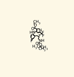 CCOC(=O)c1cnc(C(F)(F)F)cc1Nc1ccc(F)cc1CCCNC(=O)OC(C)(C)C